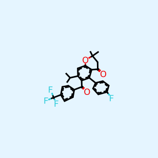 CC(C)c1cc2c(c(-c3ccc(F)cc3)c1C(=O)c1ccc(C(F)(F)F)cc1)C(=O)CC(C)(C)O2